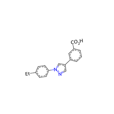 CCc1ccc(-n2cc(-c3cccc(C(=O)O)c3)cn2)cc1